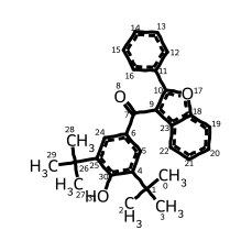 CC(C)(C)c1cc(C(=O)c2c(-c3ccccc3)oc3ccccc23)cc(C(C)(C)C)c1O